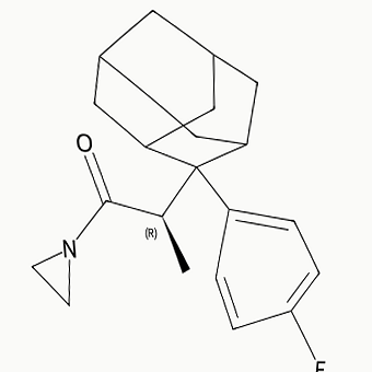 C[C@@H](C(=O)N1CC1)C1(c2ccc(F)cc2)C2CC3CC(C2)CC1C3